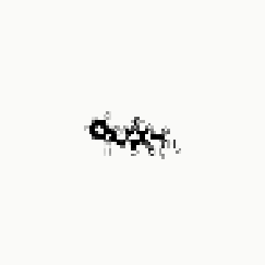 CC(=O)c1nc2c(c(=O)n(Cc3cc4c(Cl)cccc4[nH]3)c(=O)n2C)n1C